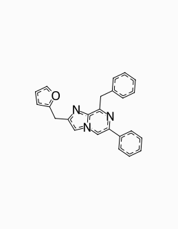 c1ccc(Cc2nc(-c3ccccc3)cn3cc(Cc4ccco4)nc23)cc1